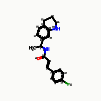 CC(NC(=O)C=Cc1ccc(F)cc1)c1ccc2c(c1)NCCC2